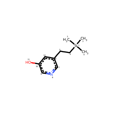 C[Si](C)(C)CCc1cncc(O)c1